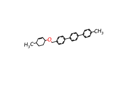 Cc1ccc(-c2ccc(-c3ccc(COC4C=CC(C)CC4)cc3)cc2)cc1